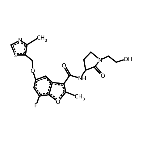 Cc1ncsc1COc1cc(F)c2oc(C)c(C(=O)NC3CCN(CCO)C3=O)c2c1